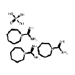 N=C(N)N1CCCCCC1.N=C(N)N1CCCCCC1.N=C(N)N1CCCCCC1.O=P(O)(O)O